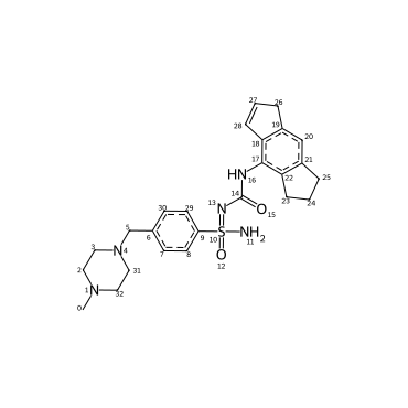 CN1CCN(Cc2ccc(S(N)(=O)=NC(=O)Nc3c4c(cc5c3CCC5)CC=C4)cc2)CC1